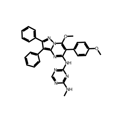 CNc1ncnc(Nc2nc3c(-c4ccccc4)c(-c4ccccc4)nn3c(OC)c2-c2ccc(OC)cc2)n1